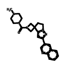 CN1CCN(C(=O)N2CC3(CCn4nc(-c5cnc6ccccc6c5)cc43)C2)CC1